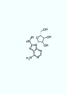 CC(C)Nc1nc2c(N)ncnc2n1[C@@H]1O[C@H](CO)C(O)C1O